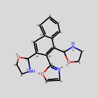 c1ccc2c(C3NCCO3)c(-c3ncco3)c(C3NCCO3)cc2c1